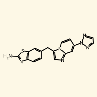 Nc1nc2ccc(Cc3cnc4cc(-n5nccn5)ccn34)cc2s1